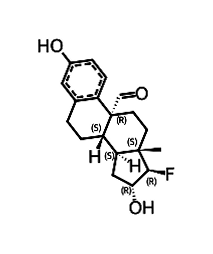 C[C@]12CC[C@]3(C=O)c4ccc(O)cc4CC[C@H]3[C@@H]1C[C@@H](O)[C@@H]2F